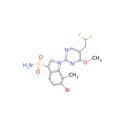 COc1nc(-n2cc(S(N)(=O)=O)c3ccc(Br)c(C)c32)ncc1CC(F)F